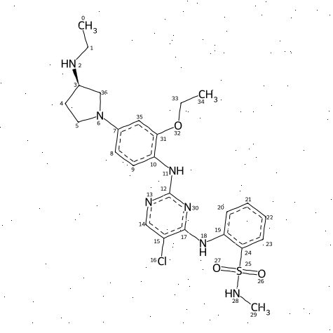 CCN[C@@H]1CCN(c2ccc(Nc3ncc(Cl)c(Nc4ccccc4S(=O)(=O)NC)n3)c(OCC)c2)C1